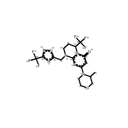 CC1COCCN1c1cc(=O)n2c(n1)N(Cc1nc(C(F)(F)F)no1)CCC2C(F)(F)F